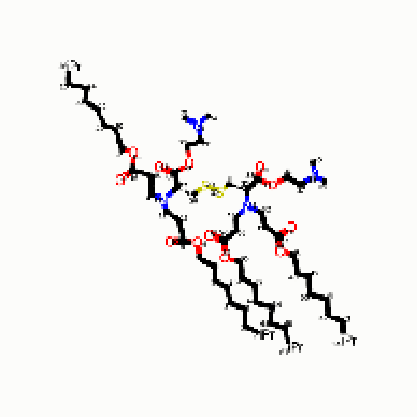 CC(C)CCCCCCCOC(=O)CCN(CCC(=O)OCCCCCCCC(C)C)[C@@H](CSSC[C@@H](C(=O)OCCN(C)C)N(CCC(=O)OCCCCCCCC(C)C)CCC(=O)OCCCCCCCC(C)C)C(=O)OCCN(C)C